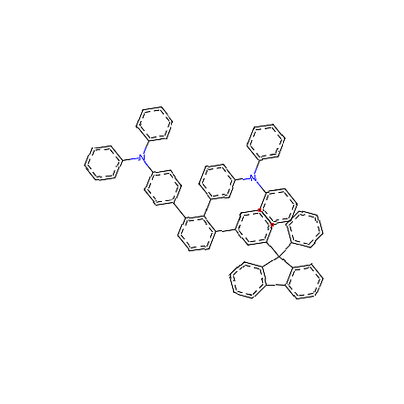 c1ccc(N(c2ccccc2)c2ccc(-c3cccc(-c4cccc(C5(c6ccccc6)c6ccccc6-c6ccccc65)c4)c3-c3cccc(N(c4ccccc4)c4ccccc4)c3)cc2)cc1